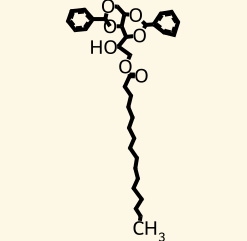 CCCCCCCCCCCCCCCC(=O)OCC(O)C1OC(c2ccccc2)OC2COC(c3ccccc3)OC21